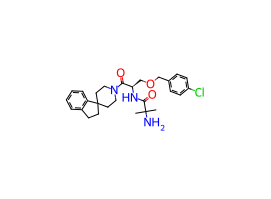 CC(C)(N)C(=O)N[C@H](COCc1ccc(Cl)cc1)C(=O)N1CCC2(CCc3ccccc32)CC1